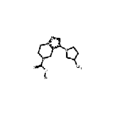 CC(C)(C)OC(=O)N1CCn2ncc(N3CCC(C(F)(F)F)C3)c2C1